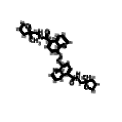 CC1(CNC(=O)c2ccc(SSc3ccc(C(=O)NCC4(C)CCCO4)c4cccnc34)c3ncccc23)CCCO1